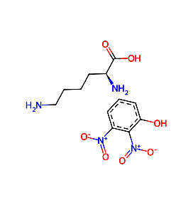 NCCCC[C@H](N)C(=O)O.O=[N+]([O-])c1cccc(O)c1[N+](=O)[O-]